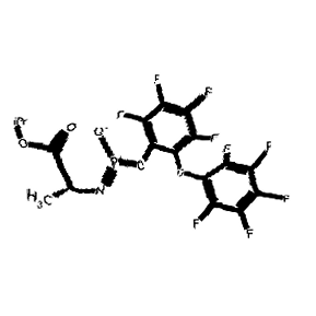 CC(C)OC(=O)[C@H](C)/N=[P+](\[O-])Oc1c(F)c(F)c(F)c(F)c1Oc1c(F)c(F)c(F)c(F)c1F